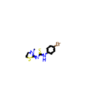 CN1CCSC1=NC(=S)Nc1ccc(Br)cc1